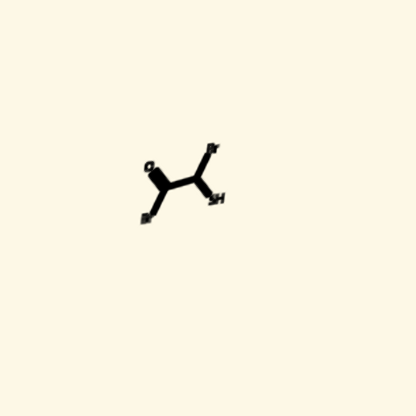 O=C(Br)C(S)Br